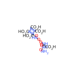 NC(=O)CCNC(=O)[C@@H](CCC(=O)O)NC(=O)COCCOCCNC(=O)CC[C@H](C(=O)O)N1CCN(CC(=O)O)CCN(CC(=O)O)CCN(CC(=O)O)CC1